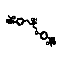 C[N+](O)(CCOc1ccc(NS(C)(=O)=O)cc1)CCc1ccc(NS(C)(=O)=O)cc1